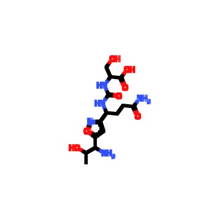 CC(O)C(N)c1cc(C(CCC(N)=O)NC(=O)NC(CO)C(=O)O)no1